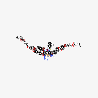 C=CC(=O)OCCCCCCOc1ccc(C(=O)Oc2ccc(-c3ccc(Oc4cc(NSc5ccc(C)cc5)c5c(c4N)C(=P)c4c(N)c(Oc6ccc(-c7ccc(OC(=O)c8ccc(OCCCCCCOC(=O)C=C)cc8)cc7)cc6)cc(NS(=O)(=O)c6ccc(C)cc6)c4C5=O)cc3)cc2)cc1